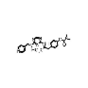 CN(C)C(=O)Oc1ccc(C[C@H](Nc2ncnc(NCc3ccncc3)n2)C(=O)O)cc1